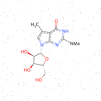 CNc1nc2c(c(C)cn2[C@@H]2O[C@H](CO)[C@@H](O)[C@H]2O)c(=O)[nH]1